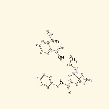 CO/N=C1\CN(C(=O)OCc2ccccc2)CC12CNC2.O=C(O)c1ccccc1C(=O)O